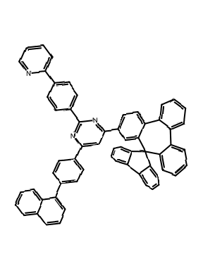 c1ccc(-c2ccc(-c3nc(-c4ccc(-c5cccc6ccccc56)cc4)cc(-c4ccc5c(c4)C4(c6ccccc6-c6ccccc6-5)c5ccccc5-c5ccccc54)n3)cc2)nc1